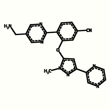 Cn1nc(-c2cnccn2)cc1Oc1cc(C#N)ccc1-c1ncc(CN)cn1